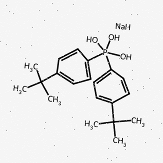 CC(C)(C)c1ccc(P(O)(O)(O)c2ccc(C(C)(C)C)cc2)cc1.[NaH]